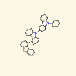 c1ccc(-n2c3ccccc3c3cc(-n4c5ccccc5c5c(-c6cccc7sc8ccccc8c67)cccc54)ccc32)cc1